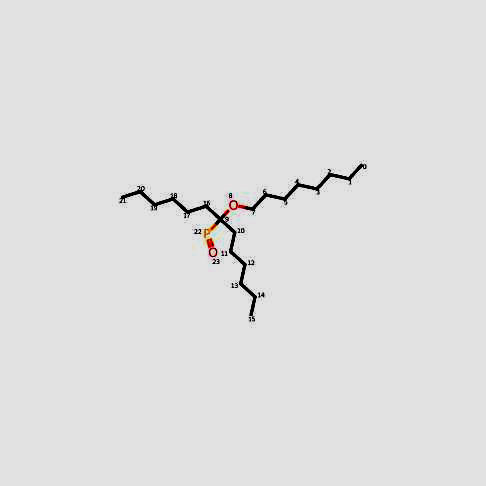 CCCCCCCCOC(CCCCCC)(CCCCCC)P=O